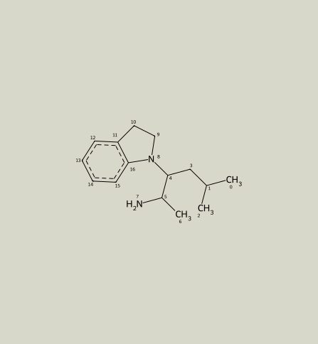 CC(C)CC(C(C)N)N1CCc2ccccc21